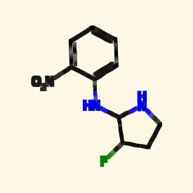 O=[N+]([O-])c1ccccc1NC1NCCC1F